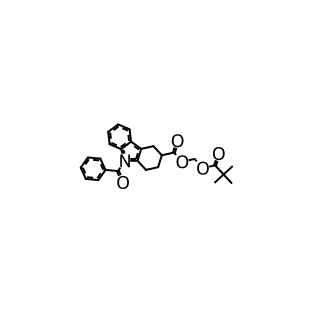 CC(C)(C)C(=O)OCOC(=O)C1CCc2c(c3ccccc3n2C(=O)c2ccccc2)C1